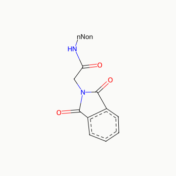 CCCCCCCCCNC(=O)CN1C(=O)c2ccccc2C1=O